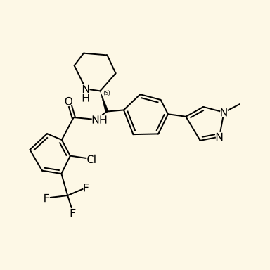 Cn1cc(-c2ccc(C(NC(=O)c3cccc(C(F)(F)F)c3Cl)[C@@H]3CCCCN3)cc2)cn1